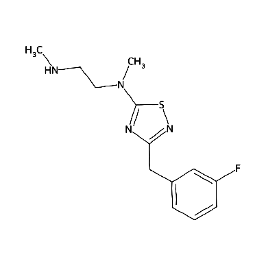 CNCCN(C)c1nc(Cc2cccc(F)c2)ns1